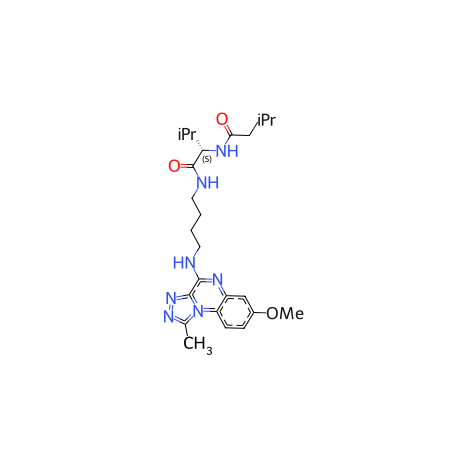 COc1ccc2c(c1)nc(NCCCCNC(=O)[C@@H](NC(=O)CC(C)C)C(C)C)c1nnc(C)n12